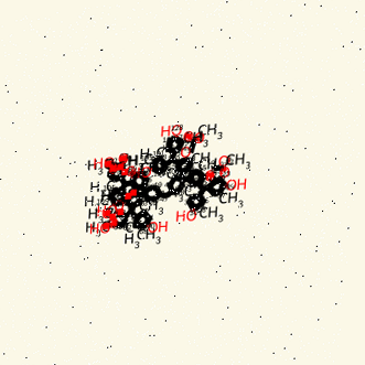 COC(=O)COc1c(C)cc(C2(c3cc(C)c(OCC(=O)OC)c(C(c4cc(C)c(O)cc4C)c4cc(C)c(O)cc4C)c3)CCC(CC3CCC(c4cc(C)c(OCC(=O)OC)c(C(c5cc(C)c(O)cc5C)c5cc(C)c(O)cc5C)c4)(c4cc(C)c(OCC(=O)OC)c(C(c5cc(C)c(O)cc5C)c5cc(C)c(O)cc5C)c4)CC3)CC2)cc1C(c1cc(C)c(O)cc1C)c1cc(C)c(O)cc1C